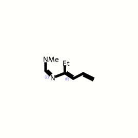 C=C/C=C(CC)/N=C\NC